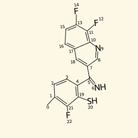 Cc1ccc(C(=N)c2cnc3c(F)c(F)ccc3c2)c(S)c1F